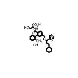 Cc1ccccc1-c1cc(COC(CCC2CCCCC2)c2cncs2)ccc1C(=O)NC(CO)C(=O)O.[LiH]